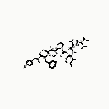 CC[C@H](C)[C@@H]([C@@H](CC(=O)N1CCC[C@H]1[C@H](OC)[C@@H](C)C(=O)N[C@@H](Cc1ccccc1)C(=O)N(C)Cc1ccc(N)cc1)OC)N(C)C(=O)[C@@H](NC(=O)[C@H](C(C)C)N(C)C)C(C)C